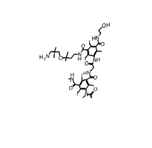 CNC(=O)c1c(I)c(C(=O)NCC(=O)Nc2c(C)c(C(=O)NCCO)c(I)c(C(=O)NCCC(C)(C)OCC(C)(C)CN)c2I)c(C)c(N(C)C(C)=O)c1I